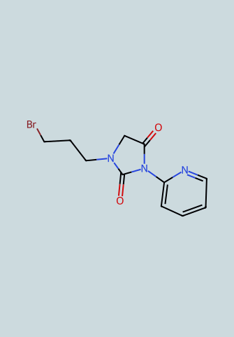 O=C1CN(CCCBr)C(=O)N1c1ccccn1